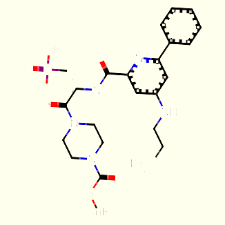 CCCCOC(=O)N1CCN(C(=O)[C@H](CP(=O)(O)O)NC(=O)c2cc(NCCC(=O)O)cc(-c3ccccc3)n2)CC1